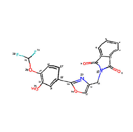 O=C1c2ccccc2C(=O)N1Cc1coc(-c2ccc(OC(F)F)c(O)c2)n1